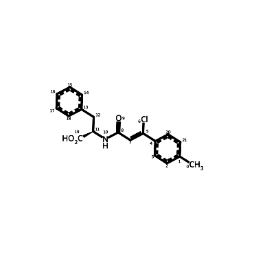 Cc1ccc(/C(Cl)=C/C(=O)N[C@H](Cc2ccccc2)C(=O)O)cc1